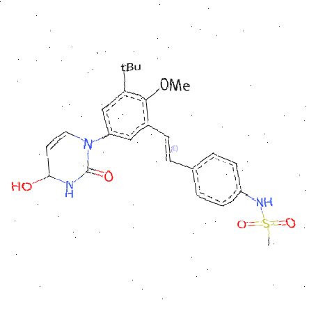 COc1c(/C=C/c2ccc(NS(C)(=O)=O)cc2)cc(N2C=CC(O)NC2=O)cc1C(C)(C)C